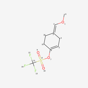 COC=C1CC=C(OS(=O)(=O)C(F)(F)F)CC1